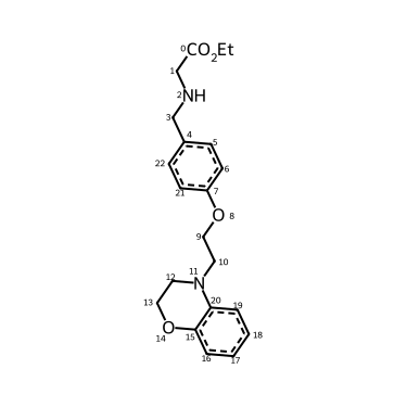 CCOC(=O)CNCc1ccc(OCCN2CCOc3ccccc32)cc1